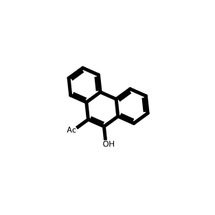 CC(=O)c1c(O)c2ccccc2c2ccccc12